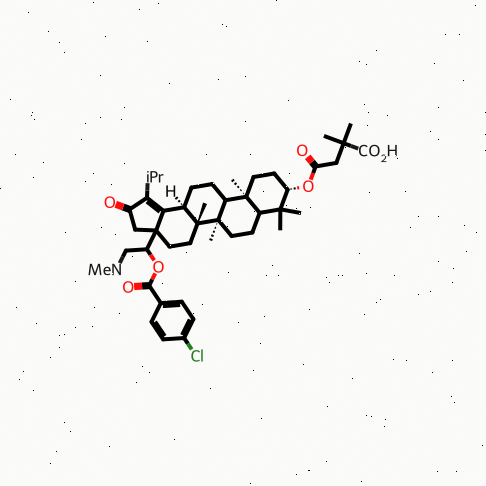 CNCC(OC(=O)c1ccc(Cl)cc1)C12CC[C@]3(C)[C@H](CCC4[C@@]5(C)CC[C@H](OC(=O)CC(C)(C)C(=O)O)C(C)(C)C5CC[C@]43C)C1=C(C(C)C)C(=O)C2